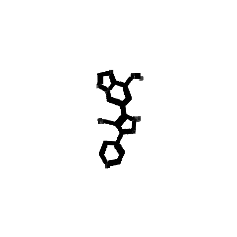 Cc1cc(-c2[nH]nc(-c3ccncc3)c2C(C)C)cn2ncnc12